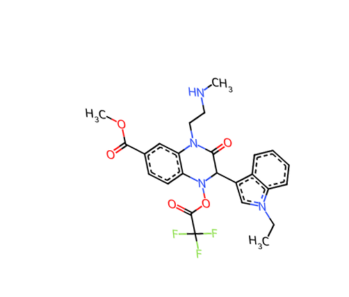 CCn1cc(C2C(=O)N(CCNC)c3cc(C(=O)OC)ccc3N2OC(=O)C(F)(F)F)c2ccccc21